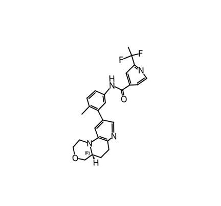 Cc1ccc(NC(=O)c2ccnc(C(C)(F)F)c2)cc1-c1cnc2c(c1)N1CCOC[C@H]1CC2